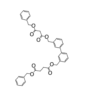 O=C(CCC(=O)OCc1cccc(-c2cccc(COC(=O)CC(=O)OCc3ccccc3)c2)c1)OCc1ccccc1